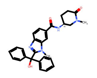 CN1C[C@@H](NC(=O)c2ccc3nc(C(O)(c4ccccc4)c4ccccc4)n(C)c3c2)CCC1=O